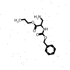 CCCOC(=O)C(CN)NC(=O)OCc1ccccc1